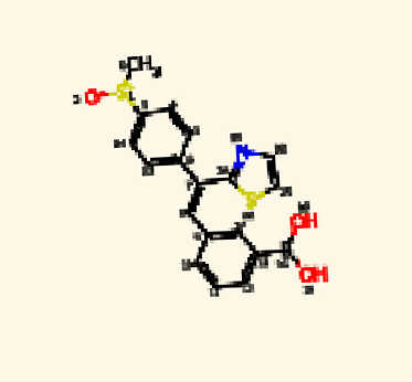 C[S+]([O-])c1ccc(C(=Cc2cccc(B(O)O)c2)c2nccs2)cc1